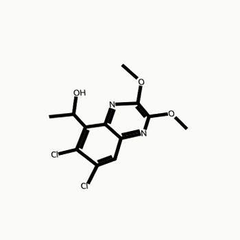 COc1nc2cc(Cl)c(Cl)c(C(C)O)c2nc1OC